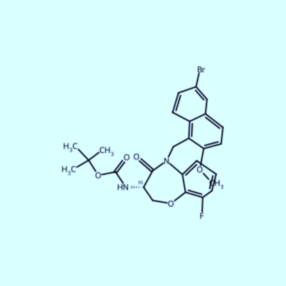 COc1ccc2cc(Br)ccc2c1CN1C(=O)[C@@H](NC(=O)OC(C)(C)C)COc2c(F)cccc21